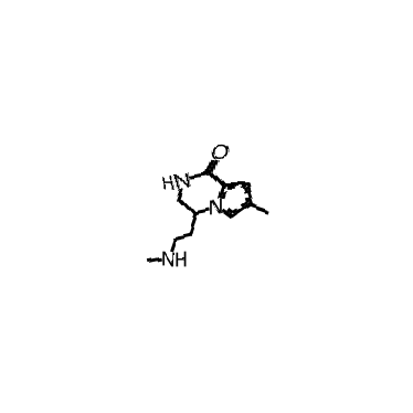 CNCCC1CNC(=O)c2cc(C)cn21